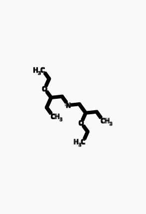 CCOC(CC)C[N]CC(CC)OCC